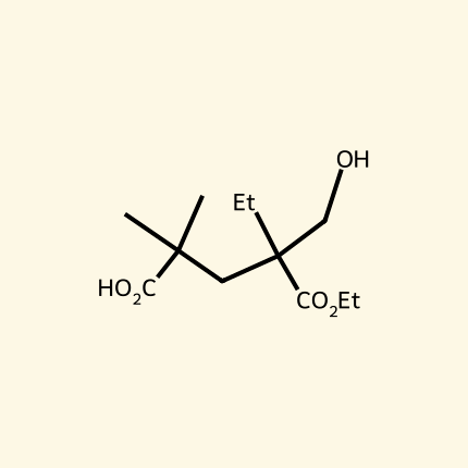 CCOC(=O)C(CC)(CO)CC(C)(C)C(=O)O